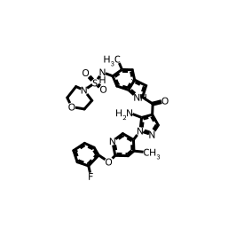 Cc1cc2cc(C(=O)c3cnn(-c4cnc(Oc5ccccc5F)cc4C)c3N)[nH]c2cc1NS(=O)(=O)N1CCOCC1